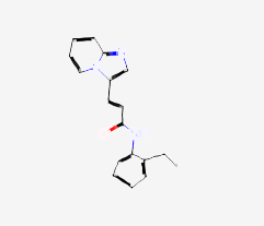 C[C](C)Cc1ccccc1NC(=O)/C=C/c1cnc2ccccn12